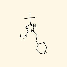 CC(C)(C)c1cc(N)n(CCN2CCOCC2)n1